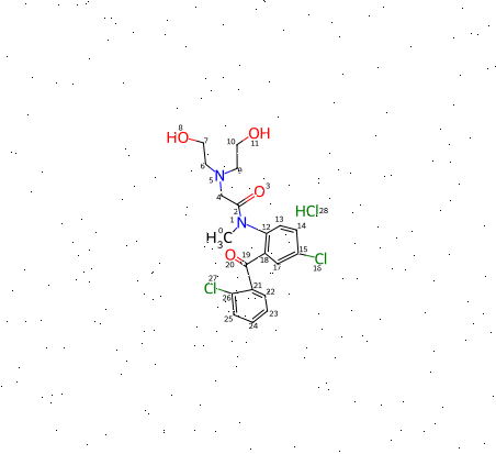 CN(C(=O)CN(CCO)CCO)c1ccc(Cl)cc1C(=O)c1ccccc1Cl.Cl